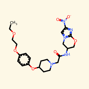 CCOCCOc1ccc(OC2CCN(CC(=O)NC3COc4nc([N+](=O)[O-])cn4C3)CC2)cc1